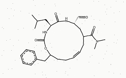 CC(C)C[C@@H]1NC(=O)OC(Cc2ccccc2)CCC=CCC(C(=O)N(C)C)C[C@@H](C=O)NC1=O